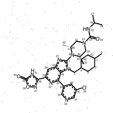 CC1CCC(Cn2c(N3[C@H](C)CN(C(=O)NC(C)C)C[C@H]3C)nc3cc(-c4noc(=O)[nH]4)nc(-c4cncc(Cl)c4)c32)CC1